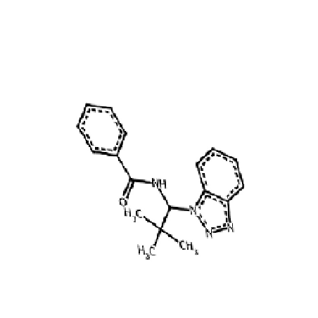 CC(C)(C)C(NC(=O)c1ccccc1)n1nnc2ccccc21